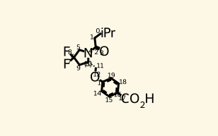 CC(C)CC(=O)N1CC(F)(F)C[C@H]1COc1ccc(C(=O)O)cc1